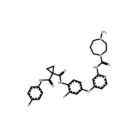 CN1CCCN(C(=O)Nc2cc(Oc3ccc(NC(=O)C4(C(=O)Nc5ccc(F)cc5)CC4)c(F)c3)ccn2)CC1